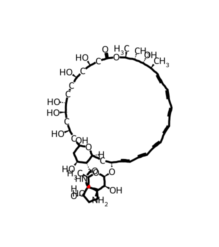 C[C@@H]1[C@H](O)[C@@H](C)/C=C/C=C/C=C/C=C/C=C/C=C/C=C/[C@H](O[C@@H]2O[C@H](C)[C@@H](O)[C@H](N)[C@@H]2O)C[C@@H]2O[C@](O)(C[C@@H](O)C[C@@H](O)[C@H](O)CC[C@@H](O)C[C@@H](O)CC(=O)O[C@H]1C)C[C@H](O)[C@H]2C(=O)NC1CCC[C@@H]1O